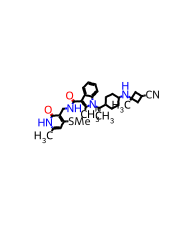 CSc1cc(C)[nH]c(=O)c1CNC(=O)c1c(C)n([C@H](C)C2CCC(NC3(C)CC(C#N)C3)CC2)c2ccccc12